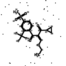 CCO/C=C(\C(=O)c1ccc(S(C)(=O)=O)cc1C(F)(F)F)C(=O)C1CC1